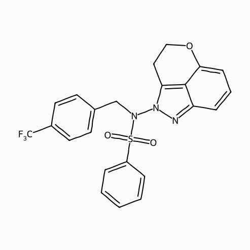 O=S(=O)(c1ccccc1)N(Cc1ccc(C(F)(F)F)cc1)n1nc2cccc3c2c1CCO3